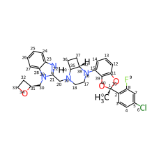 C[C@]1(c2ccc(Cl)cc2F)Oc2cccc(N3CCN(Cc4nc5ccccc5n4C[C@@H]4CCO4)[C@H]4CC[C@@H]43)c2O1